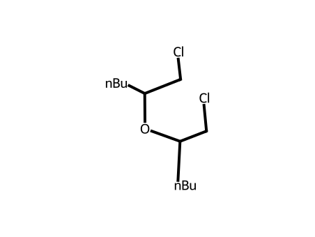 CCCCC(CCl)OC(CCl)CCCC